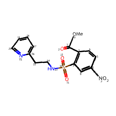 COC(=O)c1ccc([N+](=O)[O-])cc1S(=O)(=O)NCCc1ccccn1